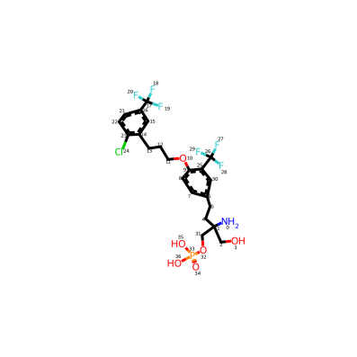 NC(CO)(CCc1ccc(OCCCc2cc(C(F)(F)F)ccc2Cl)c(C(F)(F)F)c1)COP(=O)(O)O